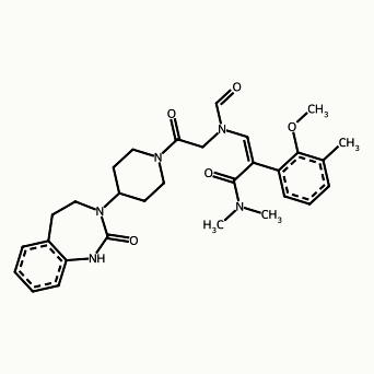 COc1c(C)cccc1/C(=C/N(C=O)CC(=O)N1CCC(N2CCc3ccccc3NC2=O)CC1)C(=O)N(C)C